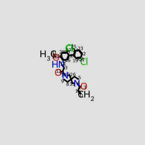 C=CC(=O)N1CCC2(CCN(C(=O)CNc3cc(-c4cc(Cl)ccc4Cl)c(Cl)cc3OC)C2)C1